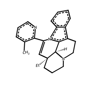 CC[C@@]12C=C(c3ncccc3C)n3c4c(c5ccccc53)CCN(CCC1)[C@H]42